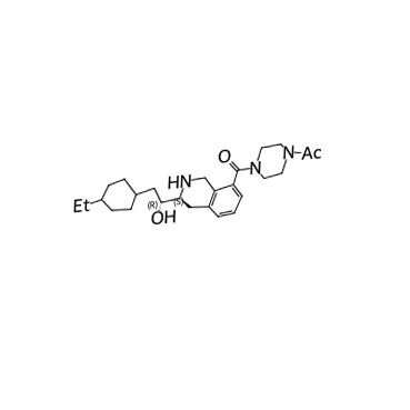 CCC1CCC(C[C@@H](O)[C@@H]2Cc3cccc(C(=O)N4CCN(C(C)=O)CC4)c3CN2)CC1